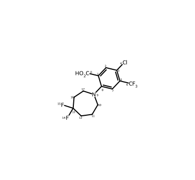 O=C(O)c1cc(Cl)c(C(F)(F)F)cc1N1CCCC(F)(F)CC1